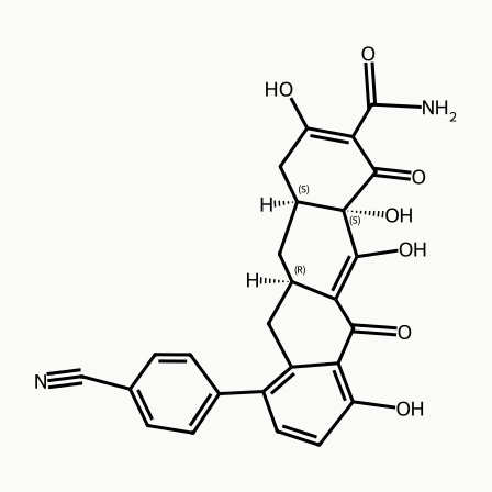 N#Cc1ccc(-c2ccc(O)c3c2C[C@H]2C[C@H]4CC(O)=C(C(N)=O)C(=O)[C@@]4(O)C(O)=C2C3=O)cc1